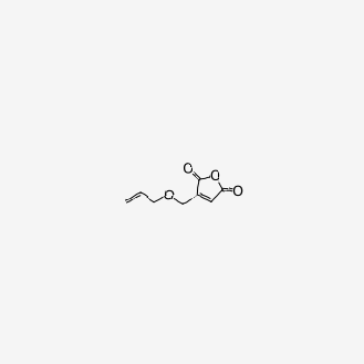 C=CCOCC1=CC(=O)OC1=O